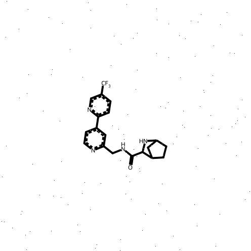 O=C(NCc1cc(-c2ccc(C(F)(F)F)cn2)ccn1)C1NC2CCC1C2